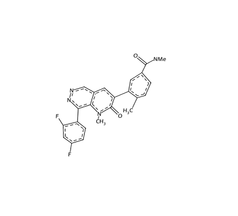 CNC(=O)c1ccc(C)c(-c2cc3cnnc(-c4ccc(F)cc4F)c3n(C)c2=O)c1